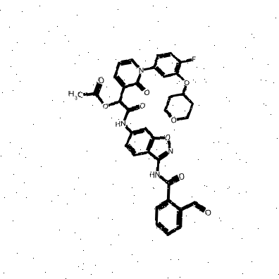 CC(=O)OC(C(=O)Nc1ccc2c(NC(=O)c3ccccc3C=O)noc2c1)c1cccn(-c2ccc(F)c(OC3CCOCC3)c2)c1=O